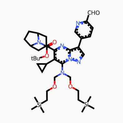 CC(C)(C)OC(=O)N1C2CCC1CC(c1nc3c(-c4ccc(C=O)nc4)cnn3c(N(COCC[Si](C)(C)C)COCC[Si](C)(C)C)c1C1CC1)C2